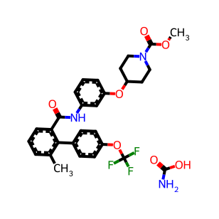 COC(=O)N1CCC(Oc2cccc(NC(=O)c3cccc(C)c3-c3ccc(OC(F)(F)F)cc3)c2)CC1.NC(=O)O